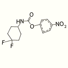 O=C(NC1CCC(F)(F)CC1)Oc1ccc([N+](=O)[O-])cc1